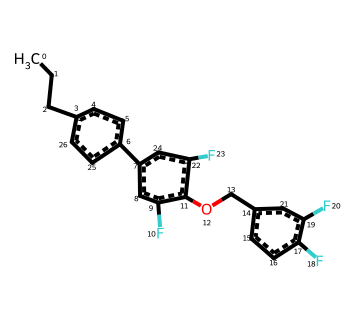 CCCc1ccc(-c2cc(F)c(OCc3ccc(F)c(F)c3)c(F)c2)cc1